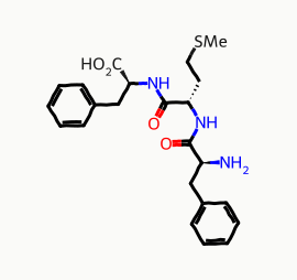 CSCC[C@H](NC(=O)[C@@H](N)Cc1ccccc1)C(=O)N[C@@H](Cc1ccccc1)C(=O)O